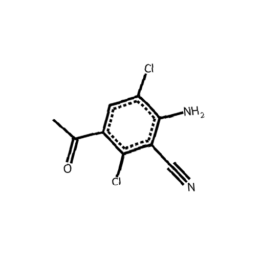 CC(=O)c1cc(Cl)c(N)c(C#N)c1Cl